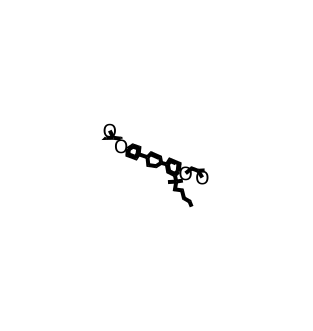 CCCCCC(C)(C)c1cc(C2C=CC(c3ccc(OCC4CO4)cc3)CC2)ccc1OCC1CO1